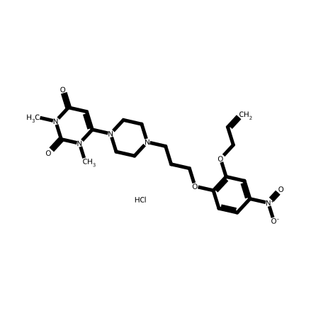 C=CCOc1cc([N+](=O)[O-])ccc1OCCCN1CCN(c2cc(=O)n(C)c(=O)n2C)CC1.Cl